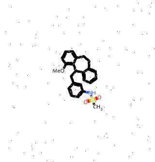 COc1cccc2c1C(Cc1cccc(NS(C)(=O)=O)c1)c1ccccc1CC2